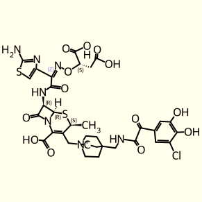 C[C@@H]1S[C@@H]2[C@H](NC(=O)/C(=N\O[C@@H](CC(=O)O)C(=O)O)c3csc(N)n3)C(=O)N2C(C(=O)O)=C1C[N+]12CCC(CNC(=O)C(=O)c3cc(O)c(O)c(Cl)c3)(CC1)CC2